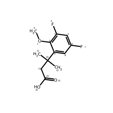 COc1c(F)cc(F)cc1C(C)(C)CC(=O)O